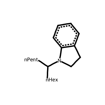 CCCCCCC(CCCCC)N1CCc2ccccc21